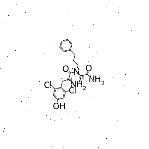 C[C@H](C(N)=O)N(CCCc1ccccc1)C(=O)[C@@H](N)Cc1c(Cl)cc(O)cc1Cl